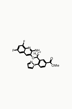 COC(=O)c1ccc(-n2cccn2)c(C(C)Oc2cc3cc(F)cc(F)c3nc2N)c1